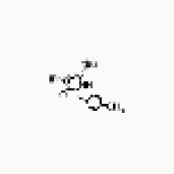 Cc1ccc(C[C@@H](NC(=O)OC(C)(C)C)C(=O)OC(C)C)cc1